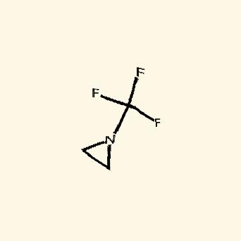 FC(F)(F)N1CC1